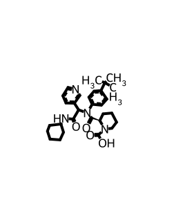 CC(C)(C)c1ccc(N(C(=O)[C@H]2CCCCN2C(=O)O)C(C(=O)NC2CCCCC2)c2cccnc2)cc1